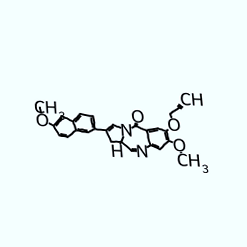 C#CCOc1cc2c(cc1OC)N=C[C@@H]1CC(c3ccc4cc(OC)ccc4c3)=CN1C2=O